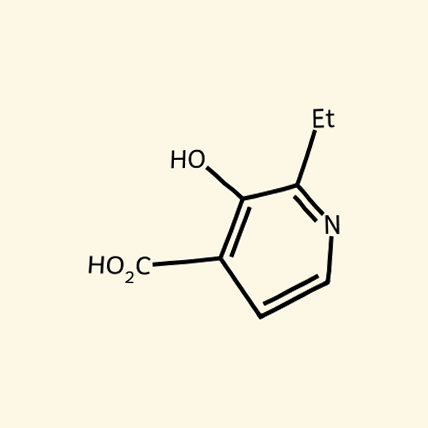 CCc1nccc(C(=O)O)c1O